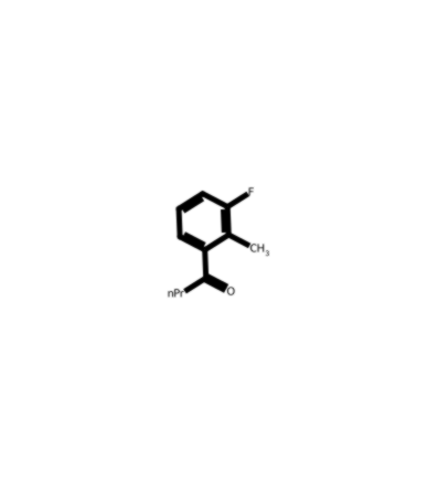 CCCC(=O)c1cccc(F)c1C